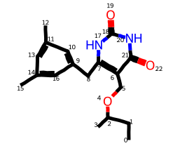 CCC(C)OCc1c(Cc2cc(C)cc(C)c2)[nH]c(=O)[nH]c1=O